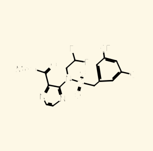 COC(=O)c1nccnc1N(CC(F)F)S(=O)(=O)Cc1cc(Cl)cc(C(F)(F)F)c1